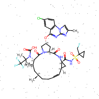 Cc1cn2c(n1)nc(O[C@@H]1C[C@H]3C(=O)N[C@]4(C(=O)NS(=O)(=O)C5(CF)CC5)C[C@H]4C=CCC[C@@H](C)C[C@@H](C)[C@H](N(C(=O)O)C(C)(C)C(F)(F)F)C(=O)N3C1)c1cc(Cl)ccc12